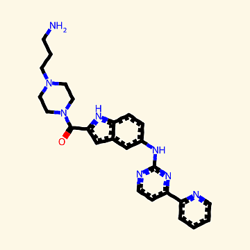 NCCCN1CCN(C(=O)c2cc3cc(Nc4nccc(-c5ccccn5)n4)ccc3[nH]2)CC1